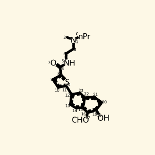 CCCN(C)CCNC(=O)c1ccc(-c2ccc3c(C=O)c(O)ccc3c2)s1